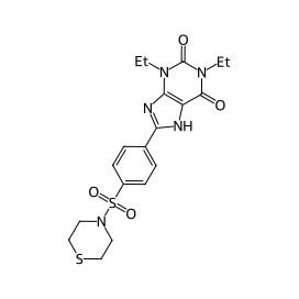 CCn1c(=O)c2[nH]c(-c3ccc(S(=O)(=O)N4CCSCC4)cc3)nc2n(CC)c1=O